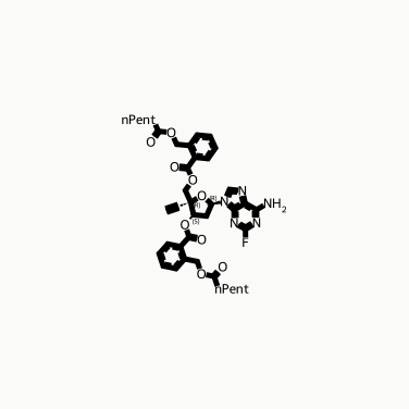 C#C[C@]1(COC(=O)c2ccccc2COC(=O)CCCCC)O[C@@H](n2cnc3c(N)nc(F)nc32)C[C@@H]1OC(=O)c1ccccc1COC(=O)CCCCC